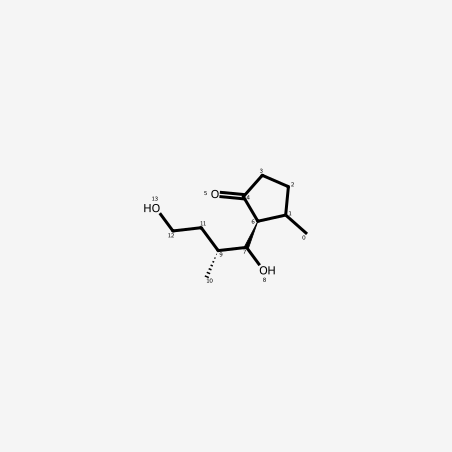 CC1CCC(=O)[C@@H]1C(O)[C@H](C)CCO